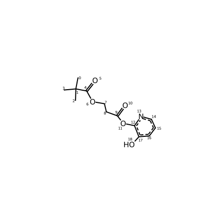 CC(C)(C)C(=O)OCCC(=O)Oc1ncccc1O